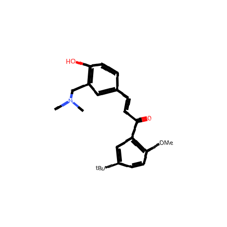 COc1ccc(C(C)(C)C)cc1C(=O)C=Cc1ccc(O)c(CN(C)C)c1